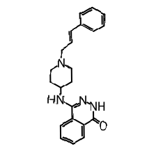 O=c1[nH]nc(NC2CCN(C/C=C/c3ccccc3)CC2)c2ccccc12